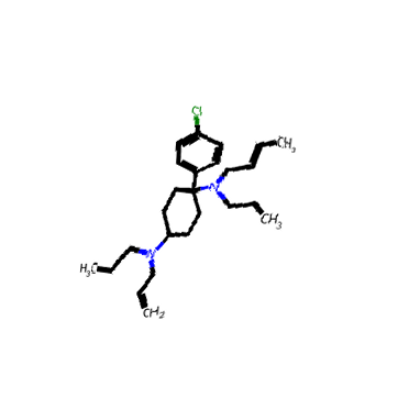 C=CCN(CCC)C1CCC(c2ccc(Cl)cc2)(N(CC=CC)CCC)CC1